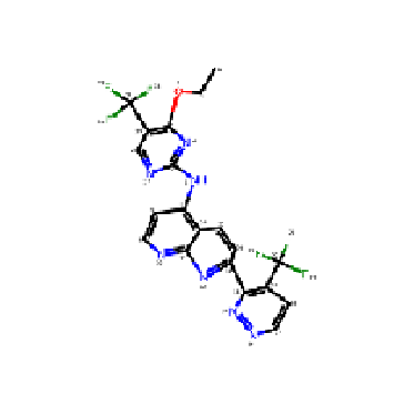 CCOc1nc(Nc2ccnc3nc(-c4nnccc4C(F)(F)F)ccc23)ncc1C(F)(F)F